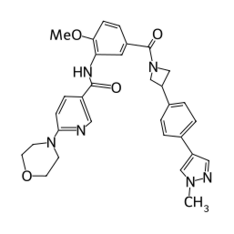 COc1ccc(C(=O)N2CC(c3ccc(-c4cnn(C)c4)cc3)C2)cc1NC(=O)c1ccc(N2CCOCC2)nc1